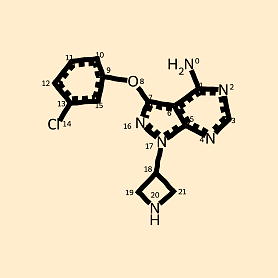 Nc1ncnc2c1c(Oc1cccc(Cl)c1)nn2C1CNC1